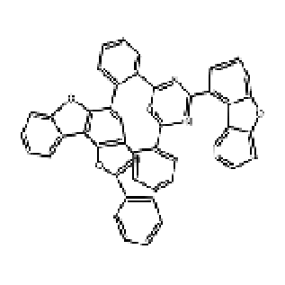 c1ccc(-c2nc(-c3ccccc3-c3cc4nc(-c5ccccc5)oc4c4c3oc3ccccc34)nc(-c3cccc4oc5ccccc5c34)n2)cc1